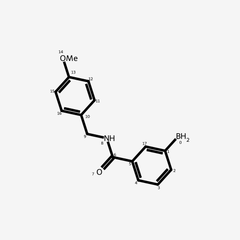 Bc1cccc(C(=O)NCc2ccc(OC)cc2)c1